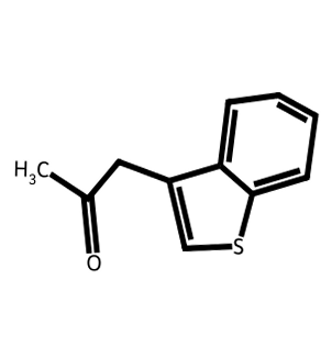 CC(=O)Cc1csc2ccccc12